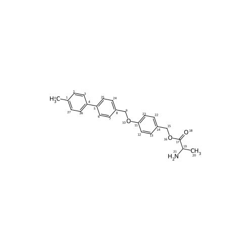 Cc1ccc(-c2ccc(COc3ccc(COC(=O)C(C)N)cc3)cc2)cc1